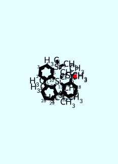 Cc1cccc([Si](C)(C)C)c1[Si](Cl)(c1c(C)cccc1[Si](C)(C)C)c1c(C)cccc1[Si](C)(C)C